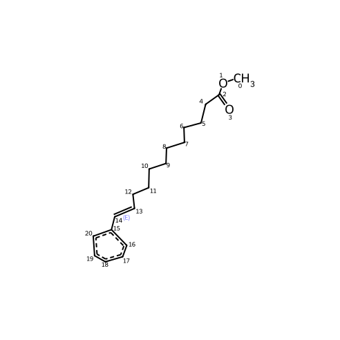 COC(=O)CCCCCCCCC/C=C/c1ccccc1